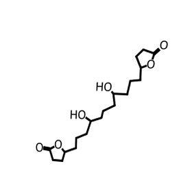 O=C1CCC(CCCC(O)CCCC(O)CCCC2CCC(=O)O2)O1